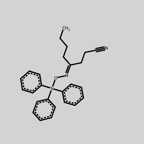 CCCC/C(CCC#N)=N\O[Si](c1ccccc1)(c1ccccc1)c1ccccc1